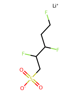 O=S(=O)([O-])CC(F)C(F)CCF.[Li+]